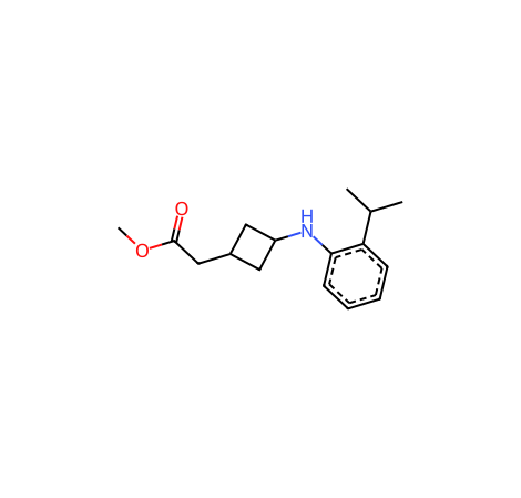 COC(=O)CC1CC(Nc2ccccc2C(C)C)C1